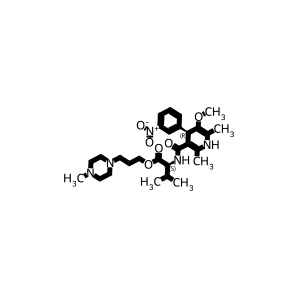 COC1=C(C)NC(C)=C(C(=O)N[C@H](C(=O)OCCCN2CCN(C)CC2)C(C)C)[C@H]1c1cccc([N+](=O)[O-])c1